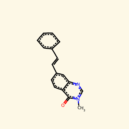 Cn1cnc2cc(C=Cc3ccccc3)ccc2c1=O